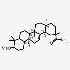 COC1CC[C@@]2(C)C(CC[C@]3(C)[C@@H]2CC=C2[C@H]4CC(C)(C(N)=O)CC[C@]4(C)CC[C@]23C)C1(C)C